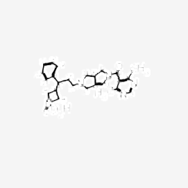 Cc1ncnc(C)c1C(=O)N1C=C2CN(CCC(c3ccccc3)C3CN(C(=O)O)C3)CC2C1